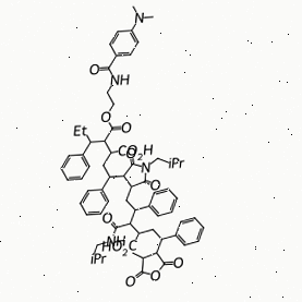 CCC(c1ccccc1)C(C(=O)OCCNC(=O)c1ccc(N(C)C)cc1)C(CC(c1ccccc1)C1C(=O)N(CC(C)C)C(=O)C1CC(c1ccccc1)C(C(=O)NCC(C)C)C(CC(c1ccccc1)C1C(=O)OC(=O)C1C)C(=O)O)C(=O)O